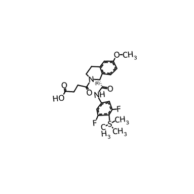 COc1ccc2c(c1)CCN(C(=O)CCC(=O)O)[C@H]2C(=O)Nc1cc(F)c(S(C)(C)C)c(F)c1